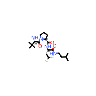 CC(C)CCNC(=O)[C@H](CC(F)F)NC(=O)[C@@H]1CCCN1C(=O)[C@@H](N)C(C)(C)C